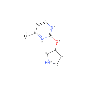 Cc1ccnc(OC2CCNC2)n1